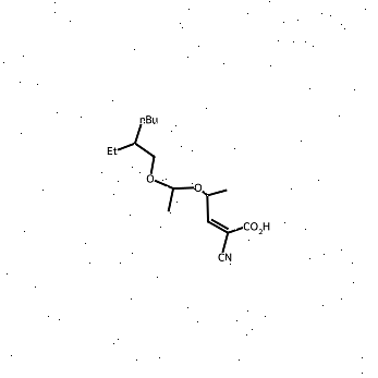 CCCCC(CC)COC(C)OC(C)C=C(C#N)C(=O)O